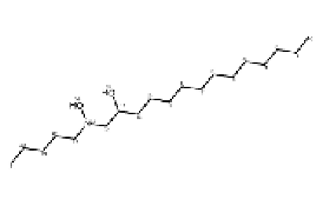 CCCCCCCCCCCCC(O)CN(O)CCCCC